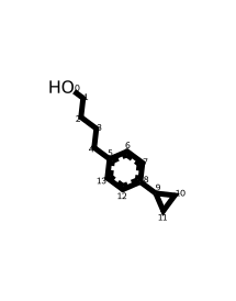 OCCCCc1ccc(C2CC2)cc1